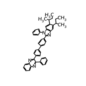 CCC(C)c1cc2nc(-c3ccc(-c4ccc(-c5nc6ccccc6nc5-c5ccccc5)cc4)cc3)n(-c3ccccc3)c2cc1C(C)CC